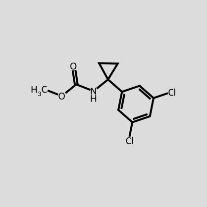 COC(=O)NC1(c2cc(Cl)cc(Cl)c2)CC1